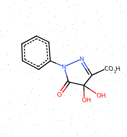 O=C(O)C1=NN(c2ccccc2)C(=O)C1(O)O